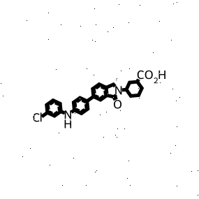 O=C(O)C1CCCC(N2Cc3ccc(-c4ccc(Nc5cccc(Cl)c5)cc4)cc3C2=O)C1